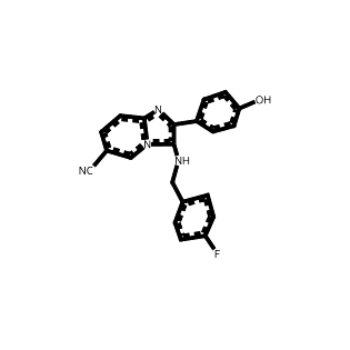 N#Cc1ccc2nc(-c3ccc(O)cc3)c(NCc3ccc(F)cc3)n2c1